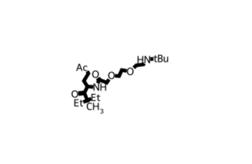 CCC(C)(CC)C(=O)C(CCC(C)=O)NC(=O)COCCOCCNC(C)(C)C